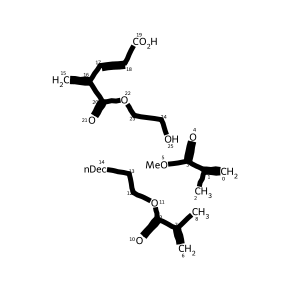 C=C(C)C(=O)OC.C=C(C)C(=O)OCCCCCCCCCCCC.C=C(C=CC(=O)O)C(=O)OCCO